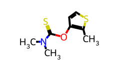 Cc1sccc1OC(=S)N(C)C